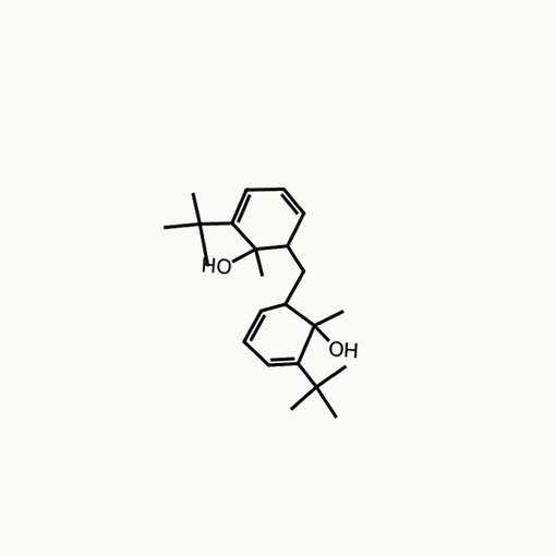 CC(C)(C)C1=CC=CC(CC2C=CC=C(C(C)(C)C)C2(C)O)C1(C)O